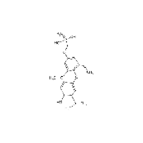 C=P(O)(O)COc1cc(OC)c(Oc2ccc(O)c(C(C)C)c2)c(OC)c1